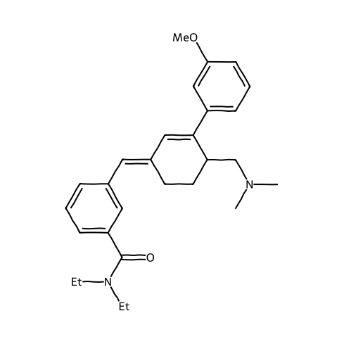 CCN(CC)C(=O)c1cccc(/C=C2/C=C(c3cccc(OC)c3)C(CN(C)C)CC2)c1